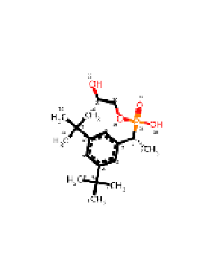 C[C@H](c1cc(C(C)(C)C)cc(C(C)(C)C)c1)P(=O)(O)OCCO